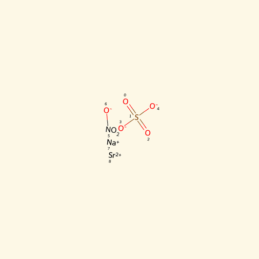 O=S(=O)([O-])[O-].O=[N+]([O-])[O-].[Na+].[Sr+2]